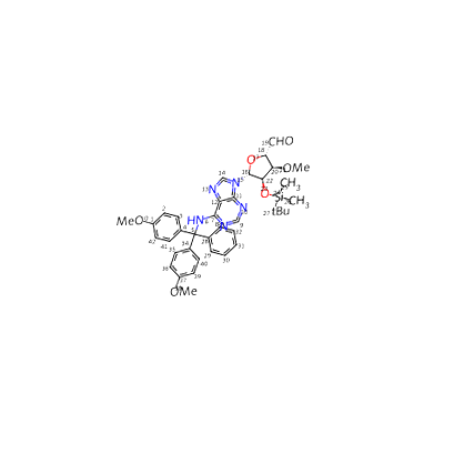 COc1ccc(C(Nc2ncnc3c2ncn3[C@@H]2O[C@H](C=O)[C@@H](OC)[C@H]2O[Si](C)(C)C(C)(C)C)(c2ccccc2)c2ccc(OC)cc2)cc1